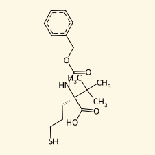 CC(C)(C)[C@](CCCS)(NC(=O)OCc1ccccc1)C(=O)O